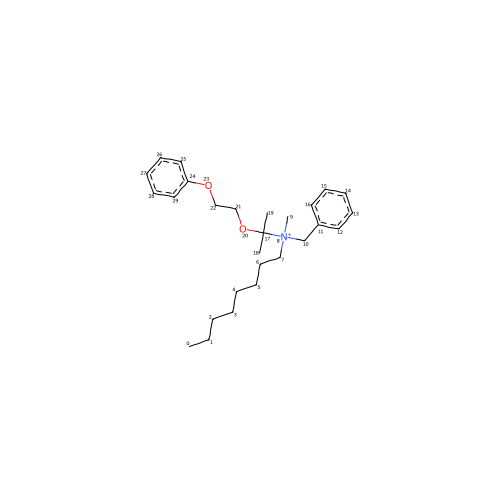 CCCCCCCC[N+](C)(Cc1ccccc1)C(C)(C)OCCOc1ccccc1